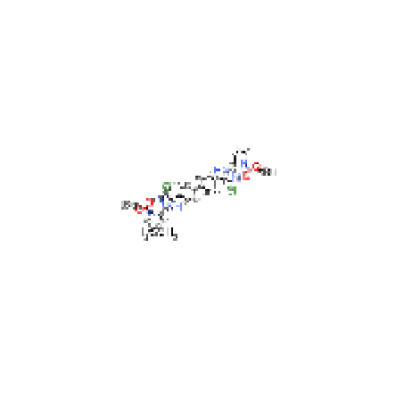 CC(C)(C)OC(=O)N1CCC[C@H]1c1nc(Cl)c(-c2ccc(-c3ccc(-c4[nH]c([C@@H]5C[Si](C)(C)CN5C(=O)OC(C)(C)C)nc4Cl)cc3)cc2)[nH]1